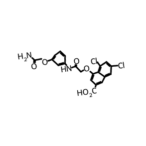 NC(=O)COc1cccc(NC(=O)COc2cc(C(=O)O)cc3cc(Cl)cc(Cl)c23)c1